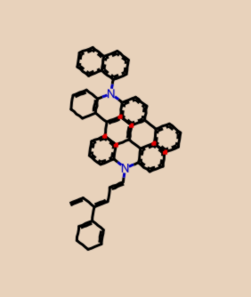 C=C/C(=C\C=C\N(c1ccccc1)c1ccccc1C1=CC=C(C2=C(N(c3ccc(-c4ccccc4)cc3)c3cccc4ccccc34)C=CCC2)CC1)C1=CCCC=C1